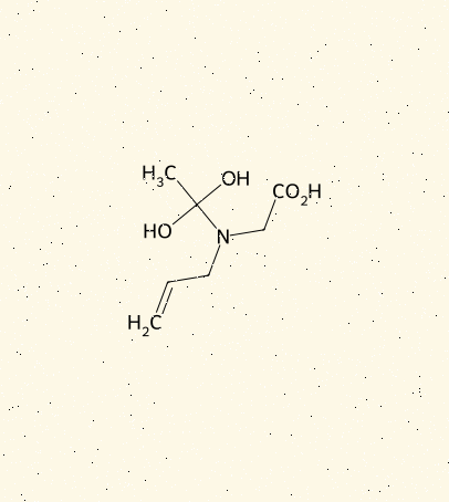 C=CCN(CC(=O)O)C(C)(O)O